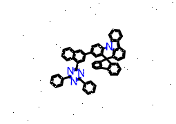 c1ccc(-c2nc(-c3ccccc3)nc(-c3cc(-c4ccc5c(c4)C4(c6ccccc6-c6ccccc64)c4cccc6c7ccccc7n-5c46)cc4ccccc34)n2)cc1